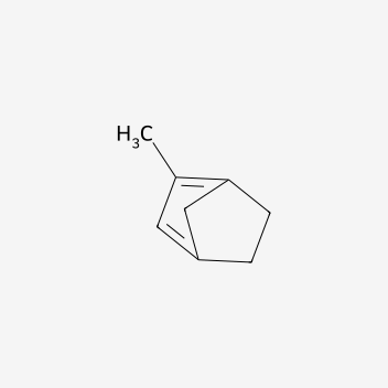 CC1=C2CCC(=C1)C2